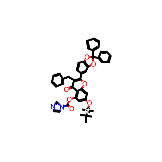 CC(C)(C)[Si](C)(C)Oc1cc(OC(=O)n2ccnc2)c2c(=O)c(Cc3ccccc3)c(-c3ccc4c(c3)OC(c3ccccc3)(c3ccccc3)O4)oc2c1